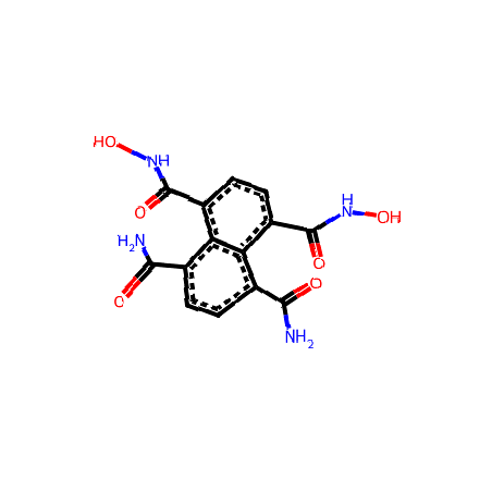 NC(=O)c1ccc(C(N)=O)c2c(C(=O)NO)ccc(C(=O)NO)c12